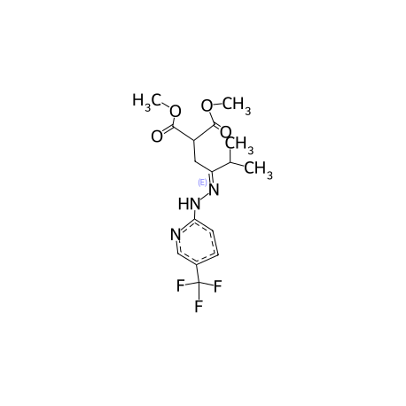 COC(=O)C(C/C(=N\Nc1ccc(C(F)(F)F)cn1)C(C)C)C(=O)OC